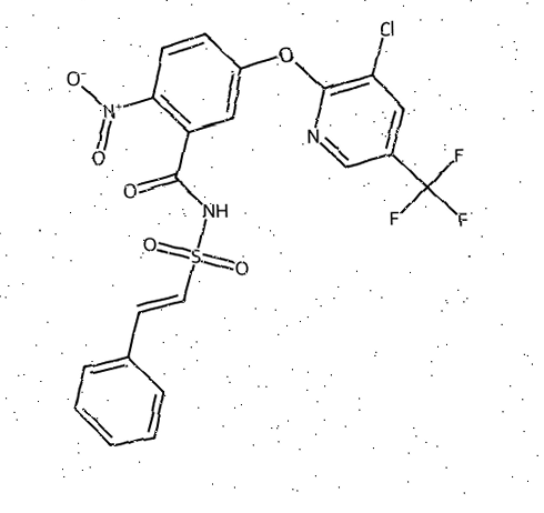 O=C(NS(=O)(=O)C=Cc1ccccc1)c1cc(Oc2ncc(C(F)(F)F)cc2Cl)ccc1[N+](=O)[O-]